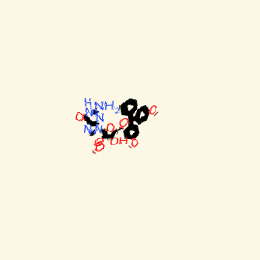 COO[C@@H]1[C@@H](O)[C@@H](COC(c2ccccc2)(c2ccc(OC)cc2)c2ccc(OC)cc2)O[C@H]1n1cnc2c(=O)[nH]c(N)nc21